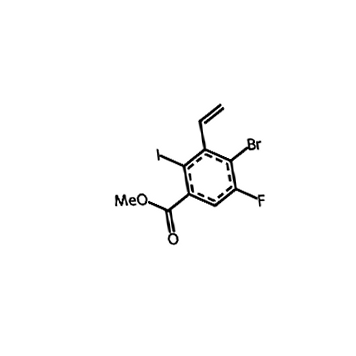 C=Cc1c(Br)c(F)cc(C(=O)OC)c1I